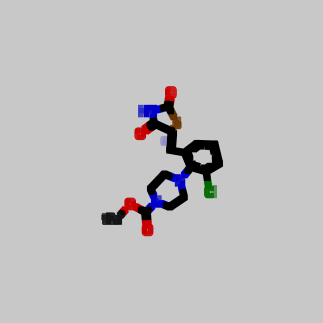 CC(C)(C)OC(=O)N1CCN(c2c(Cl)cccc2/C=C2\SC(=O)NC2=O)CC1